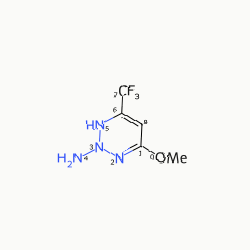 COC1=NN(N)NC(C(F)(F)F)=C1